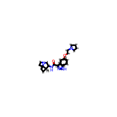 O=C(NC1CN2CCC23CC[C@H]13)c1n[nH]c2ccc(OCCN3CCCC3)cc12